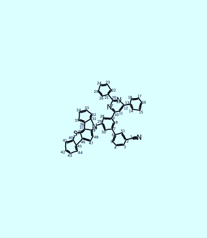 N#Cc1cccc(-c2cc(-c3cc(-c4ccccc4)nc(-c4ccccc4)n3)cc(-n3c4ccccc4c4c5sc6ccccc6c5ccc43)c2)c1